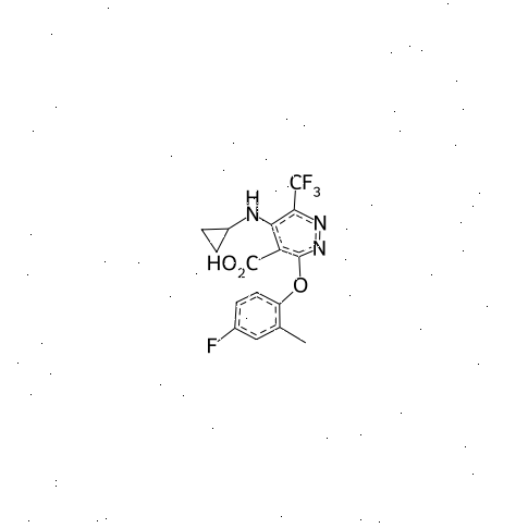 Cc1cc(F)ccc1Oc1nnc(C(F)(F)F)c(NC2CC2)c1C(=O)O